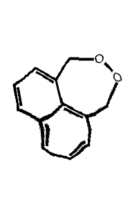 c1cc2c3c(cccc3c1)COOC2